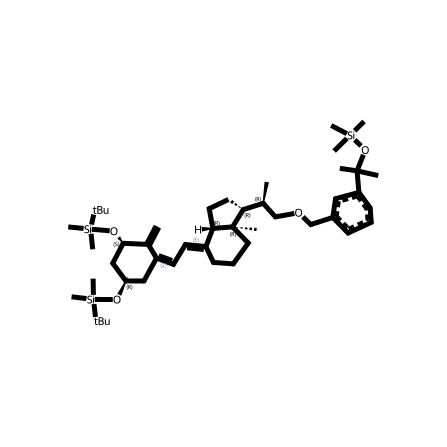 C=C1/C(=C\C=C2/CCC[C@]3(C)[C@@H]([C@@H](C)COCc4cccc(C(C)(C)O[Si](C)(C)C)c4)CC[C@@H]23)C[C@@H](O[Si](C)(C)C(C)(C)C)C[C@@H]1O[Si](C)(C)C(C)(C)C